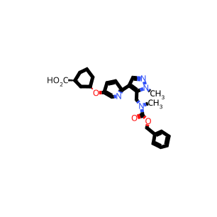 CN(Cc1c(-c2ccc(O[C@H]3CCC[C@H](C(=O)O)C3)cn2)cnn1C)C(=O)OCc1ccccc1